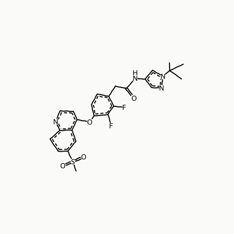 CC(C)(C)n1cc(NC(=O)Cc2ccc(Oc3ccnc4ccc(S(C)(=O)=O)cc34)c(F)c2F)cn1